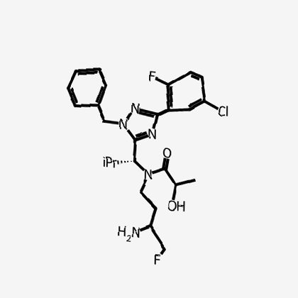 CC(O)C(=O)N(CCC(N)CF)[C@@H](c1nc(-c2cc(Cl)ccc2F)nn1Cc1ccccc1)C(C)C